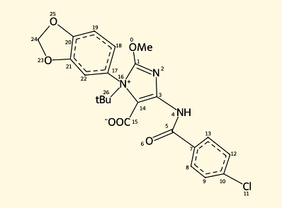 COC1=NC(NC(=O)c2ccc(Cl)cc2)=C(C(=O)[O-])[N+]1(c1ccc2c(c1)OCO2)C(C)(C)C